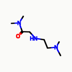 CN(C)CCNCC(=O)N(C)C